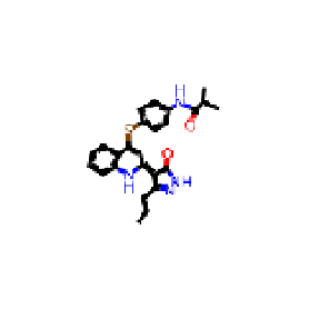 CCCC1=NNC(=O)C1=C1C=C(Sc2ccc(NC(=O)C(C)C)cc2)c2ccccc2N1